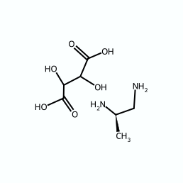 C[C@@H](N)CN.O=C(O)C(O)C(O)C(=O)O